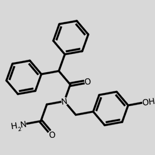 NC(=O)CN(Cc1ccc(O)cc1)C(=O)C(c1ccccc1)c1ccccc1